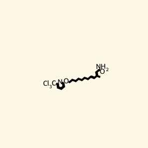 CC(C=CCCCCCCCOc1cccc(C(Cl)(Cl)Cl)n1)=CC(N)=O